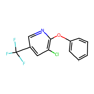 FC(F)(F)c1cnc(Oc2c[c]ccc2)c(Cl)c1